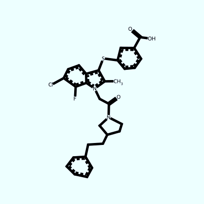 Cc1c(Sc2cccc(C(=O)O)c2)c2ccc(Cl)c(F)c2n1CC(=O)N1CCC(CCc2ccccc2)C1